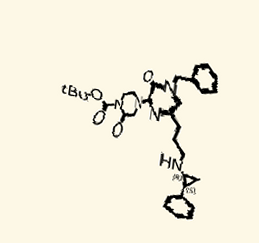 CC(C)(C)OC(=O)N1CCN(c2nc(CCCN[C@@H]3C[C@H]3c3ccccc3)cn(Cc3ccccc3)c2=O)CC1=O